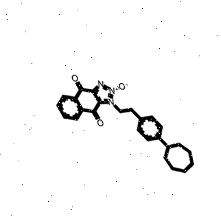 O=C1c2ccccc2C(=O)c2c1n[n+]([O-])n2CCc1ccc(C2CCCCCC2)cc1